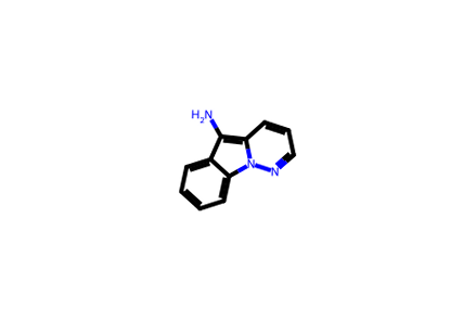 Nc1c2ccccc2n2ncccc12